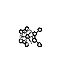 N#Cc1c(-n2c3ccc(-c4ccccc4)cc3c3cc(-c4ccccc4)ccc32)c(C#N)c(-n2c3ncccc3c3cccnc32)c(C#N)c1-n1c2ncccc2c2cccnc21